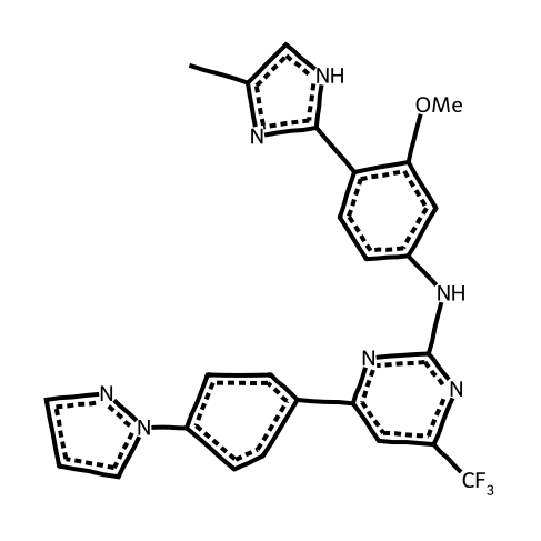 COc1cc(Nc2nc(-c3ccc(-n4cccn4)cc3)cc(C(F)(F)F)n2)ccc1-c1nc(C)c[nH]1